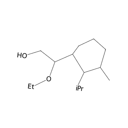 CCOC(CO)C1CCCC(C)C1C(C)C